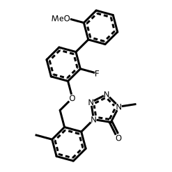 COc1ccccc1-c1cccc(OCc2c(C)cccc2-n2nnn(C)c2=O)c1F